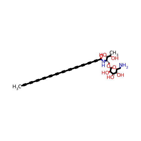 CC#CC#CC#CC#CC#CC#CC#CC#CC#CC#CC#CC#CC(=O)N[C@@H](CO[C@H]1OC(CN)[C@H](O)[C@H](O)C1O)[C@H](O)[C@@H](C)O